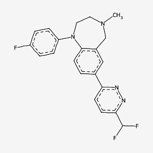 CN1CCN(c2ccc(F)cc2)c2ccc(-c3ccc(C(F)F)nn3)cc2C1